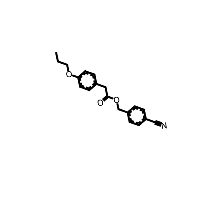 CCCOc1ccc(CC(=O)OCc2ccc(C#N)cc2)cc1